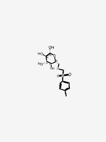 Cc1ccc(S(=O)(=O)COC[C@H]2O[C@@H](O)[C@H](O)[C@@H](O)[C@@H]2O)cc1